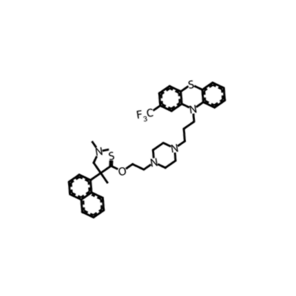 CN(C)CC(C)(C(=S)OCCN1CCN(CCCN2c3ccccc3Sc3ccc(C(F)(F)F)cc32)CC1)c1cccc2ccccc12